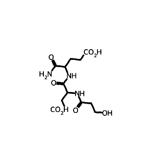 NC(=O)C(CCC(=O)O)NC(=O)C(CC(=O)O)NC(=O)CCO